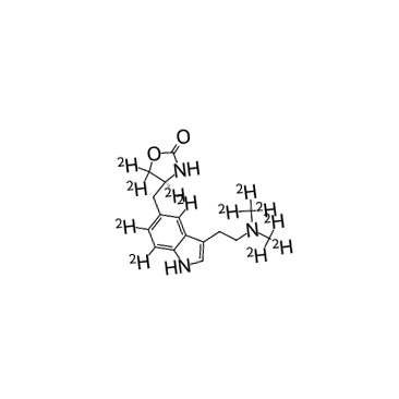 [2H]c1c(C[C@]2([2H])NC(=O)OC2([2H])[2H])c([2H])c2c(CCN(C([2H])([2H])[2H])C([2H])([2H])[2H])c[nH]c2c1[2H]